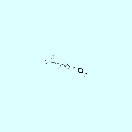 O=C(Oc1ccc([N+](=O)[O-])cc1)O[C@@H]1CO[C@@H]2[C@H]([C@H](CCC(CO[N+](=O)[O-])O[N+](=O)[O-])C(=O)O)CO[C@H]21